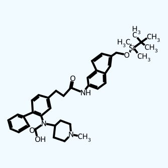 CN1CCC(N(C(=O)O)c2cc(CCC(=O)Nc3ccc4cc(CO[Si](C)(C)C(C)(C)C)ccc4c3)ccc2-c2ccccc2)CC1